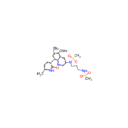 COc1c(C(C)(C)C)cc(-c2ccc(C)[nH]c2=O)c2ncc(N(CCCNS(C)(=O)=O)S(C)(=O)=O)cc12